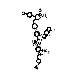 CC1(C)CCC(CN2CCN(c3ccc(C(=O)NS(=O)(=O)c4ccc(NCC5CCN(C6CC6)C5)c([N+](=O)[O-])c4)c(-n4ncc5nc6[nH]ccc6cc54)c3)CC2)=C(c2ccc(Cl)cc2)C1